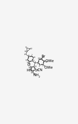 COc1cc(C2c3ccc(CC4CC4)cc3Oc3[nH]c(N)c(C#N)c32)cc(Br)c1OC